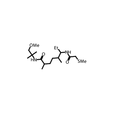 CCC(NC(=O)CSC)C(C)CCC(C)C(=O)NC(C)(C)COC